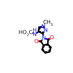 Cn1cc(NC(=O)O)c(N2C(=O)c3ccccc3C2=O)n1